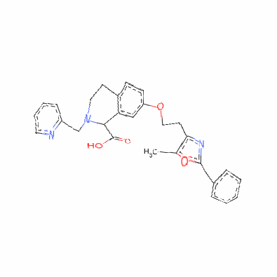 Cc1oc(-c2ccccc2)nc1CCOc1ccc2c(c1)C(C(=O)O)N(Cc1ccccn1)CC2